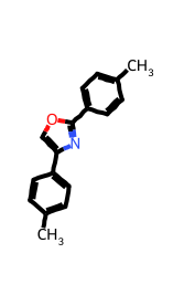 Cc1ccc(-c2coc(-c3ccc(C)cc3)n2)cc1